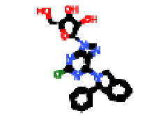 OC[C@H]1O[C@@H](n2cnc3c(N4Cc5ccccc5C4c4ccccc4)nc(Cl)nc32)C(O)C1O